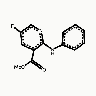 COC(=O)c1cc(F)cnc1Nc1ccccc1